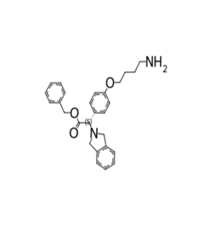 NCCCCOc1ccc([C@@H](C(=O)OCc2ccccc2)N2Cc3ccccc3C2)cc1